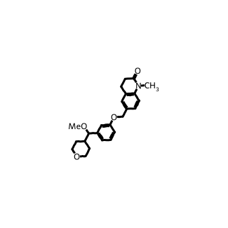 COC(c1cccc(OCc2ccc3c(c2)CCC(=O)N3C)c1)C1CCOCC1